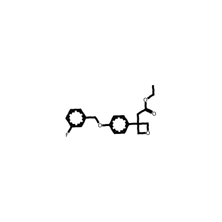 CCOC(=O)CC1(c2ccc(OCc3cccc(F)c3)cc2)COC1